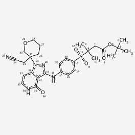 CC(C)(C)OC(=O)CC(C)(C)S(=O)(=O)c1ccc(Nc2nn(C3(CC#N)CCCOC3)c3cc[nH]c(=O)c23)cc1